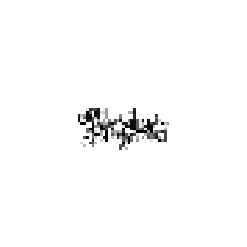 CCc1[nH]c(C(=O)N[C@@H]2CCN(c3cc(C(=O)O)cc(Cl)n3)C[C@@H]2OC)nc1Cl